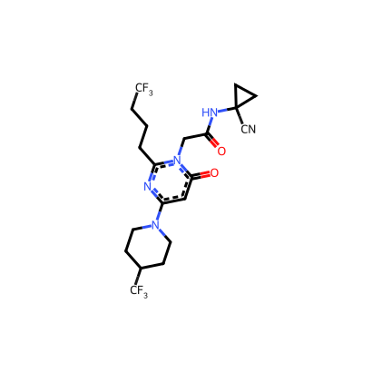 N#CC1(NC(=O)Cn2c(CCCC(F)(F)F)nc(N3CCC(C(F)(F)F)CC3)cc2=O)CC1